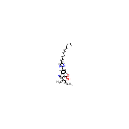 CCCCCCCCCCc1cnc(-c2ccc(C(C(=O)O)C(C#N)C(C)CCC)cc2)nc1